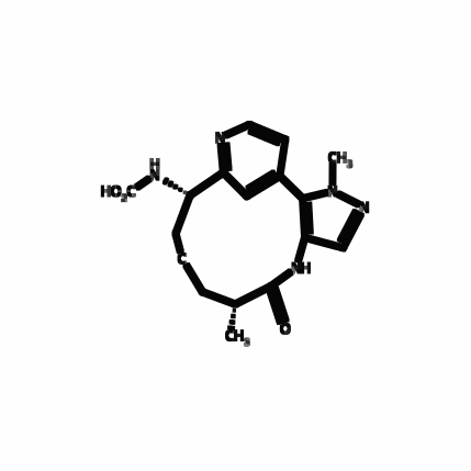 C[C@@H]1CCC[C@H](NC(=O)O)c2cc(ccn2)-c2c(cnn2C)NC1=O